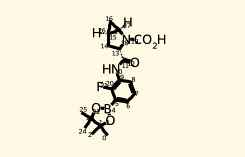 CC1(C)OB(c2cccc(NC(=O)[C@@H]3C[C@H]4C[C@H]4N3C(=O)O)c2F)OC1(C)C